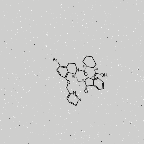 O=C(O)[C@H]1CCCC[C@H]1C(=O)N1CCc2c(Br)ccc(OCc3cccnn3)c2[C@H]1CN1Cc2ccccc2C1=O